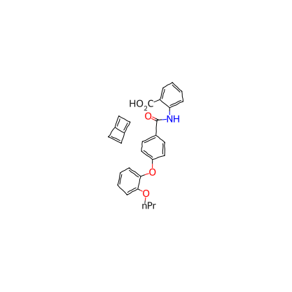 CCCOc1ccccc1Oc1ccc(C(=O)Nc2ccccc2C(=O)O)cc1.c1cc2ccc1-2